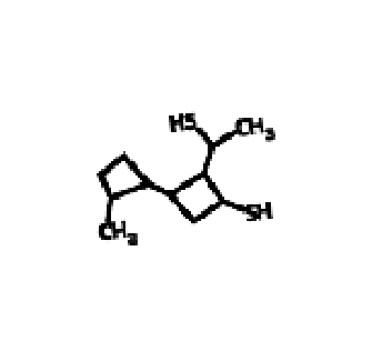 CC(S)C1C(S)CC1C1CCC1C